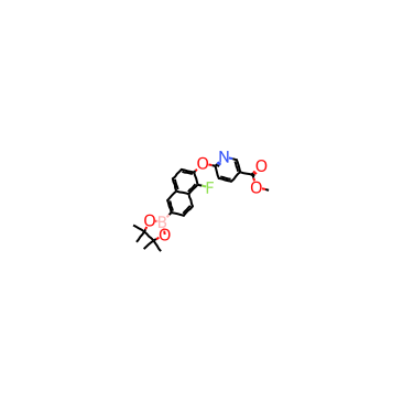 COC(=O)c1ccc(Oc2ccc3cc(B4OC(C)(C)C(C)(C)O4)ccc3c2F)nc1